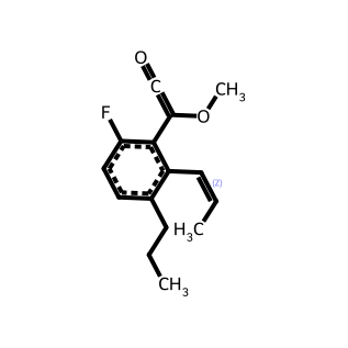 C/C=C\c1c(CCC)ccc(F)c1C(=C=O)OC